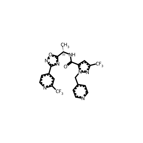 C[C@H](NC(=O)c1cc(C(F)(F)F)nn1Cc1ccncc1)c1nc(-c2ccnc(C(F)(F)F)c2)no1